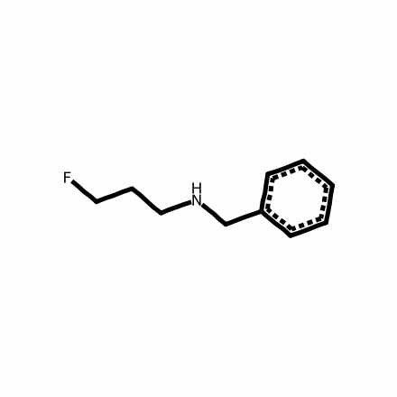 FCCCNCc1ccccc1